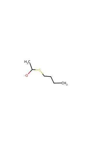 CCCCSC(C)[O]